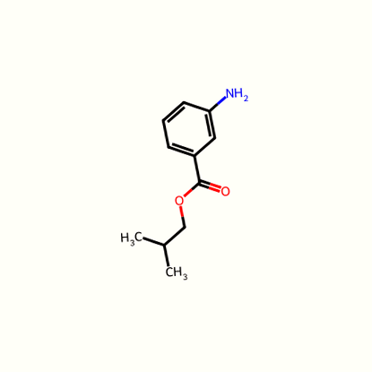 CC(C)COC(=O)c1cccc(N)c1